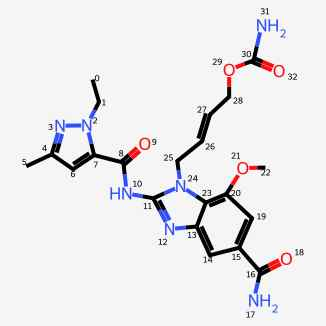 CCn1nc(C)cc1C(=O)Nc1nc2cc(C(N)=O)cc(OC)c2n1CC=CCOC(N)=O